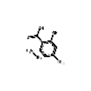 NN.Nc1ccc(C(=O)O)c(O)c1